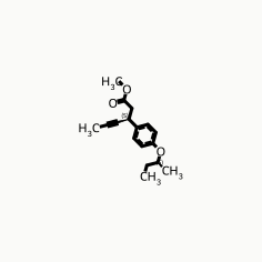 CC#C[C@@H](CC(=O)OC)c1ccc(O[C@@H](C)CC)cc1